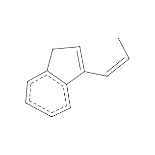 C/C=C\C1=CCc2ccccc21